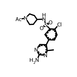 CC(=O)N1CCC(NS(=O)(=O)c2cc(-c3cnc(N)nc3C)ccc2Cl)CC1